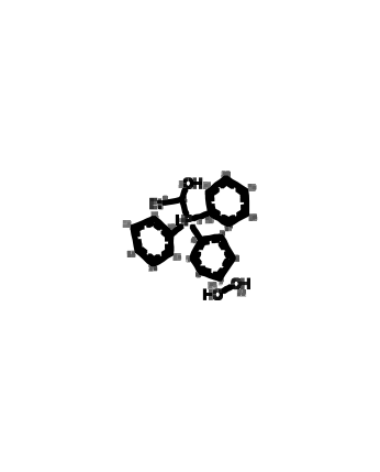 CCC(O)[PH](c1ccccc1)(c1ccccc1)c1ccccc1.OO